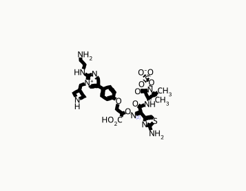 CC1(C)[C@H](NC(=O)/C(=N\OC(COc2ccc(-c3cnc(NCCN)[n+](CC4CNC4)c3)cc2)C(=O)O)c2csc(N)n2)C(=O)N1OS(=O)(=O)[O-]